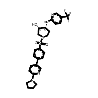 O=S(=O)(c1ccc(-c2ccc(N3CCCC3)nc2)cc1)N1CC[C@@H](Nc2ccc(C(F)(F)F)cn2)[C@@H](O)C1